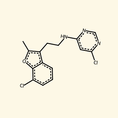 Cc1oc2c(Cl)cccc2c1CCNc1cc(Cl)ncn1